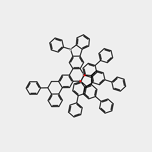 c1ccc(-c2ccc3c(c2)c2cc(-c4ccccc4)ccc2n3-c2cc3c(cc2-c2cc4c(cc2-n2c5ccc(-c6ccccc6)cc5c5cc(-c6ccccc6)ccc52)c2ccccc2n4-c2ccccc2)CC(c2ccccc2)c2ccccc2-3)cc1